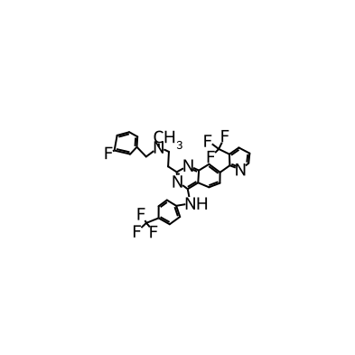 CN(CCc1nc(Nc2ccc(C(F)(F)F)cc2)c2ccc(-c3ncccc3C(F)(F)F)cc2n1)Cc1cccc(F)c1